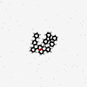 C1=CC(C2(c3ccccc3)c3ccccc3-c3ccc(N(c4ccc(-c5ccccc5-c5ccc(-c6ccccc6)cc5)cc4)c4ccccc4-c4ccccc4)cc32)=CCC1